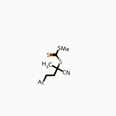 CSC(=S)SC(C)(C#N)CCC(C)=O